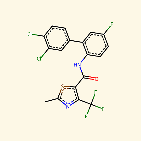 Cc1nc(C(F)(F)F)c(C(=O)Nc2ccc(F)cc2-c2ccc(Cl)c(Cl)c2)s1